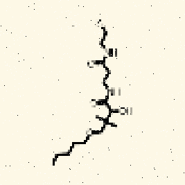 CCCCCOCC(C)(C)C(O)C(=O)NCCC(=O)NCCS